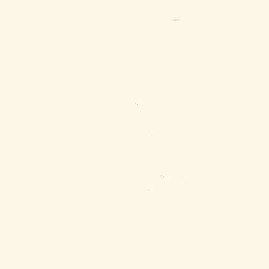 c1ccc(-n2c3cc(-c4ccc(N(c5ccc(-c6cccc7c6sc6ccccc67)cc5)c5ccc6c(ccc7ccccc76)c5)cc4)ccc3c3ccc4ccccc4c32)cc1